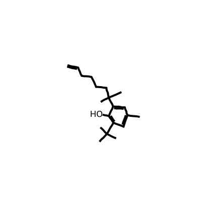 C=CCCCCC(C)(C)c1cc(C)cc(C(C)(C)C)c1O